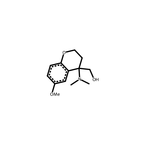 COc1ccc2c(c1)C(CO)(N(C)C)CCO2